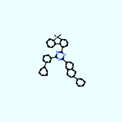 C[Si]1(C)c2ccccc2-c2c(-c3nc(-c4cccc(-c5ccccc5)c4)nc(-c4ccc5cc(-c6ccccc6)ccc5c4)n3)cccc21